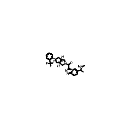 CNC(C)c1ccc2nnc(C(=O)N3C[C@H]4C[C@@H](c5ccccc5C(F)(F)F)C[C@H]4C3)n2c1